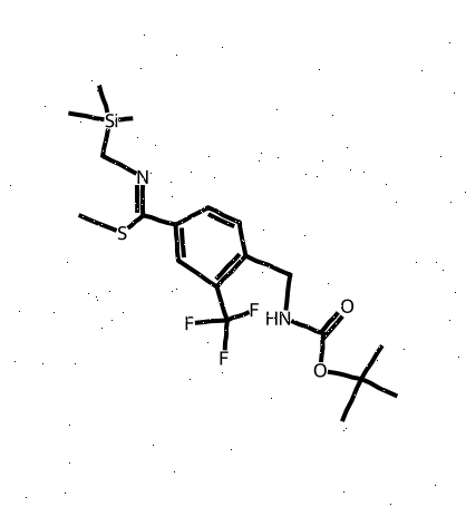 CSC(=NC[Si](C)(C)C)c1ccc(CNC(=O)OC(C)(C)C)c(C(F)(F)F)c1